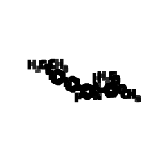 COc1ccc(-c2nc3cc(F)c(C4CCN(C5CCN(CC(C)C)CC5)CC4)cc3[nH]2)cc1OC